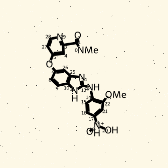 CNC(=O)c1cc(Oc2ccc3[nH]c(Nc4ccc([NH+]([O-])O)cc4OC)nc3c2)ccn1